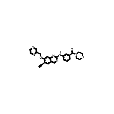 C#Cc1cc2cnc(Nc3cccc(C(=O)N4CCOCC4)c3)nc2cc1OCc1cnccn1